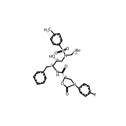 CC[C@H](C)CN(C[C@@H](O)[C@H](Cc1ccccc1)NC(=O)[C@@H]1CN(c2ccc(F)cc2)C(=O)O1)S(=O)(=O)c1ccc(C)cc1